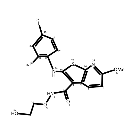 COc1ccc2c(C(=O)NOCCO)c(Nc3ccc(I)cc3F)sc2n1